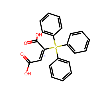 O=C(O)/C=C(\C(=O)O)S(c1ccccc1)(c1ccccc1)c1ccccc1